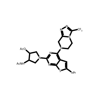 CCCc1cc2c(N3CCn4c(nnc4C(F)(F)F)C3)nc(N3CC(NC(C)=O)C(OC(C)=O)C3)nc2s1